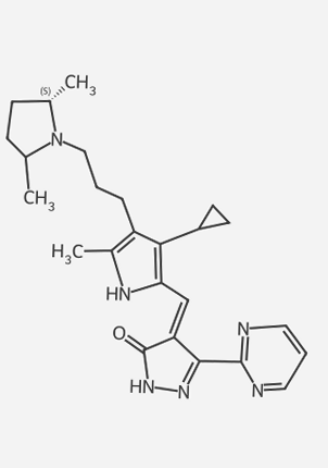 Cc1[nH]c(C=C2C(=O)NN=C2c2ncccn2)c(C2CC2)c1CCCN1C(C)CC[C@@H]1C